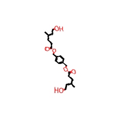 CC(CCO)CCC(=O)OCc1ccc(COC(=O)CCC(C)CCO)cc1